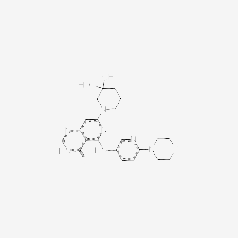 CC1(C)CCCN(c2cc3nc[nH]c(=O)c3c(Nc3ccc(N4CCOCC4)nc3)n2)C1